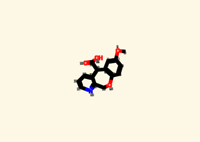 COc1ccc2c(c1)C(C(=O)O)c1cccnc1CO2